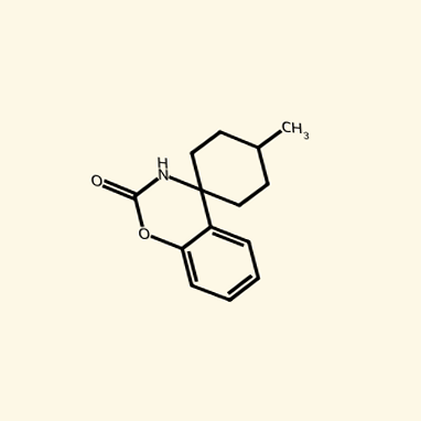 CC1CCC2(CC1)NC(=O)Oc1ccccc12